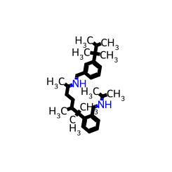 CC(C)NCc1ccccc1C(C)(C)C(C)CCC(C)NCc1cccc(C(C)(C)C(C)C)c1